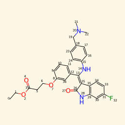 CCOC(=O)CCOc1cccc(C(Nc2ccc(CN(C)C)cc2)=C2C(=O)Nc3cc(F)ccc32)c1